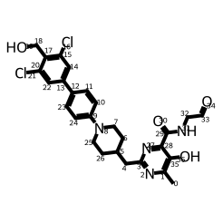 Cc1nc(CC2CCN(c3ccc(-c4cc(Cl)c(CO)c(Cl)c4)cc3)CC2)nc(C(=O)NCC=O)c1O